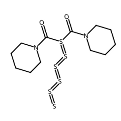 O=C(N1CCCCC1)S(=S=S=S=S=S)C(=O)N1CCCCC1